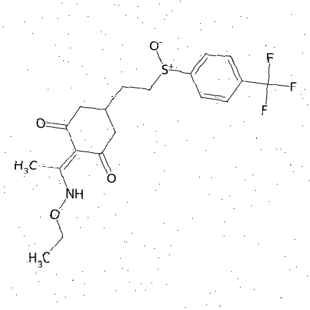 CCONC(C)=C1C(=O)CC(CC[S+]([O-])c2ccc(C(F)(F)F)cc2)CC1=O